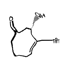 CCCC1=CCCC(=O)[C@@H]1O